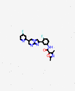 Cc1nc(C)c(C(=O)Nc2ccc(F)c(-c3cn4cc(-c5cc(F)ccn5)cnc4n3)c2)o1